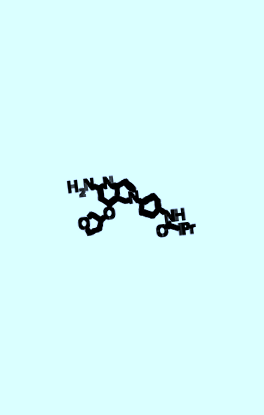 CC(C)C(=O)Nc1ccc(N2C=Cc3nc(N)cc(OC4CCOC4)c3C2)cc1